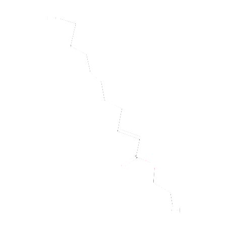 CCCCCCCCC=CC(=O)OCCC